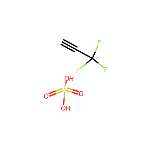 C#CC(F)(F)F.O=S(=O)(O)O